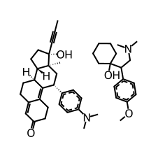 CC#C[C@]1(O)CC[C@H]2[C@@H]3CCC4=CC(=O)CCC4=C3[C@@H](c3ccc(N(C)C)cc3)C[C@@]21C.COc1ccc(C(CN(C)C)C2(O)CCCCC2)cc1